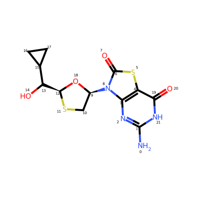 Nc1nc2c(sc(=O)n2[C@H]2CS[C@@H](C(O)C3CC3)O2)c(=O)[nH]1